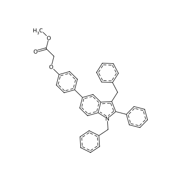 COC(=O)COc1ccc(-c2ccc3c(c2)c(Cc2ccccc2)c(-c2ccccc2)n3Cc2ccccc2)cc1